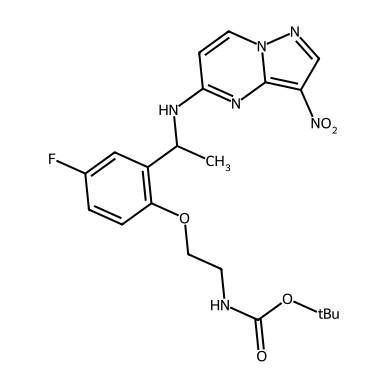 CC(Nc1ccn2ncc([N+](=O)[O-])c2n1)c1cc(F)ccc1OCCNC(=O)OC(C)(C)C